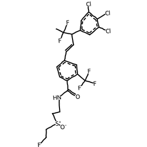 CC(F)(F)C(/C=C/c1ccc(C(=O)NCC[S+]([O-])CCF)c(C(F)(F)F)c1)c1cc(Cl)c(Cl)c(Cl)c1